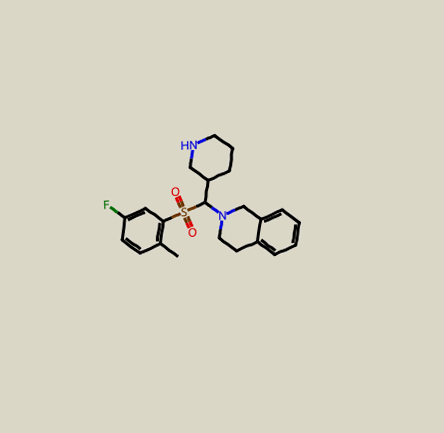 Cc1ccc(F)cc1S(=O)(=O)C(C1CCCNC1)N1CCc2ccccc2C1